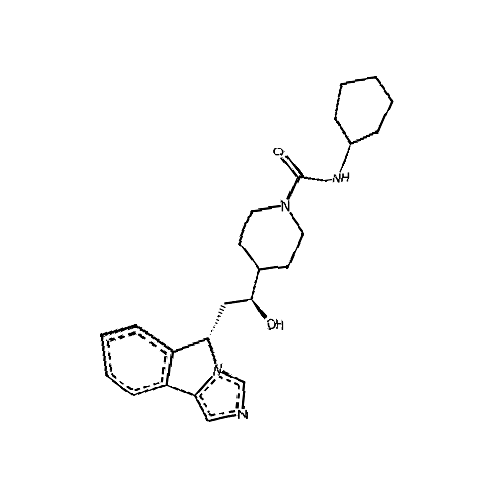 O=C(NC1CCCCC1)N1CCC([C@@H](O)C[C@H]2c3ccccc3-c3cncn32)CC1